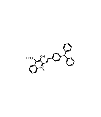 C[n+]1c(/C=C/c2ccc(C(c3ccccc3)c3ccccc3)cc2)c(O)c(C(=O)O)c2ccccc21